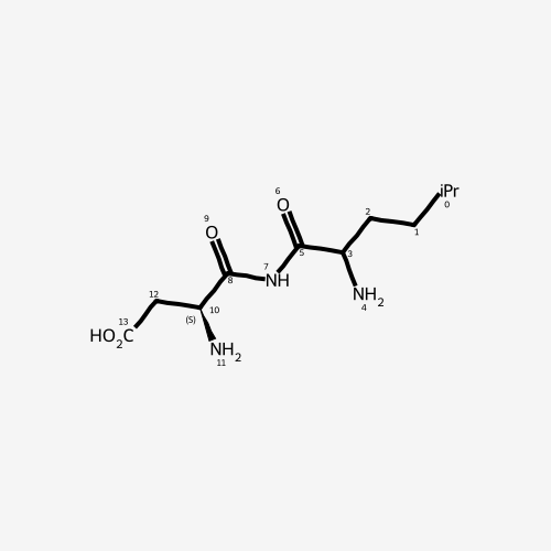 CC(C)CCC(N)C(=O)NC(=O)[C@@H](N)CC(=O)O